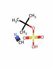 C#N.CC(C)(C)OS(=O)(=O)O